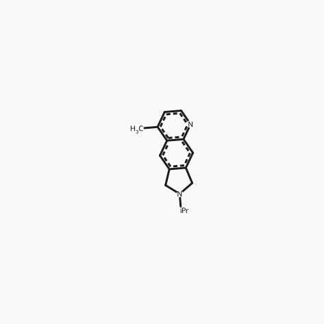 Cc1ccnc2cc3c(cc12)CN(C(C)C)C3